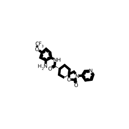 Nc1cc(OC(F)(F)F)ccc1NC(=O)[C@H]1CC[C@]2(CC1)CN(c1cccnc1)C(=O)O2